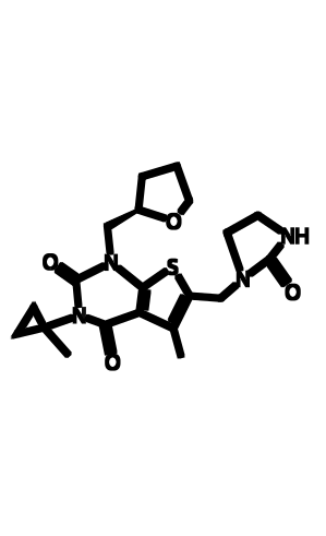 Cc1c(CN2CCNC2=O)sc2c1c(=O)n(C1(C)CC1)c(=O)n2C[C@H]1CCCO1